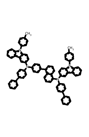 Cc1ccc(-n2c3ccccc3c3cc(N(c4ccc(-c5ccccc5)cc4)c4ccc(-c5cccc6c(N(c7ccc(-c8ccccc8)cc7)c7ccc8c(c7)c7ccccc7n8-c7ccc(C)cc7)cccc56)cc4)ccc32)cc1